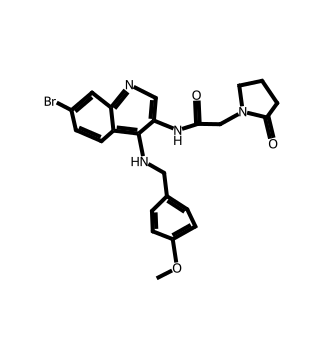 COc1ccc(CNc2c(NC(=O)CN3CCCC3=O)cnc3cc(Br)ccc23)cc1